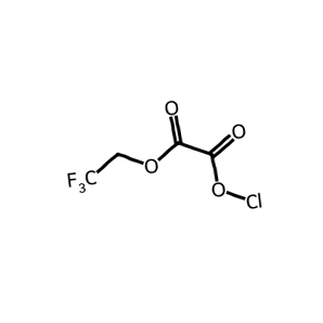 O=C(OCl)C(=O)OCC(F)(F)F